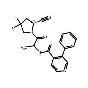 CC(NC(=O)c1ccncc1-c1ccccc1)C(=O)N1CC(F)(F)C[C@@H]1C#N